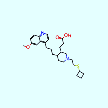 COc1ccc2nccc(CCC[C@@H]3CCN(CCSC4CCC4)C[C@@H]3CCC(=O)O)c2c1